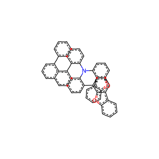 c1ccc(-c2cccc3cccc(-c4ccccc4N(c4ccccc4-c4cccc5c4oc4ccccc45)c4cccc5oc6ccccc6c45)c23)cc1